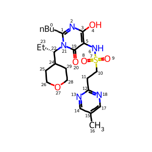 CCCCc1nc(O)c(NS(=O)(=O)CCc2ncc(C)cn2)c(=O)n1[C@@H](CC)C1CCOCC1